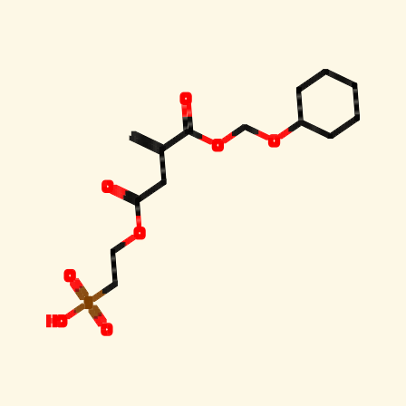 C=C(CC(=O)OCCS(=O)(=O)O)C(=O)OCOC1CCCCC1